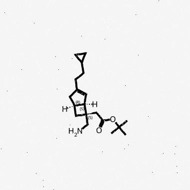 CC(C)(C)OC(=O)C[C@@]1(CN)C[C@H]2CC(CCC3CC3)=C[C@H]21